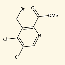 COC(=O)c1ncc(Cl)c(Cl)c1CBr